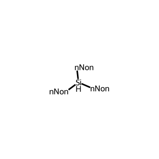 CCCCCCCCC[SiH](CCCCCCCCC)CCCCCCCCC